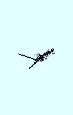 CCCCCCCCCCCCCCCCCC(=O)O[C@H](CCCCCCCCCCC)CC(=O)O[C@H]1O[C@H](CO)[C@@H](O)[C@@H](OC(C)C(=O)N[C@@H](C)C(=O)N[C@H](CCC(=O)OC)C(N)=O)[C@H]1NC(C)=O